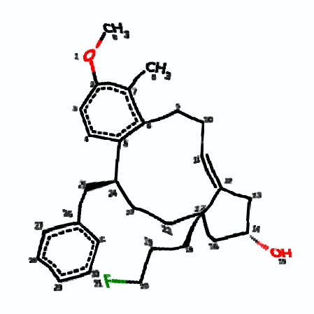 COc1ccc2c(c1C)CC/C=C1\C[C@H](O)C[C@]1(CCCF)CC[C@H]2Cc1ccccc1